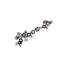 CCOc1cc(N2CCC(N3CCN(CCc4cc(F)c([C@H]5CCC(=O)NC5=O)c(F)c4)CC3)CC2)c(CC)cc1Nc1ncc(Br)c(Nc2ccc3nc(CC)c(F)cc3c2P(C)(C)=O)n1